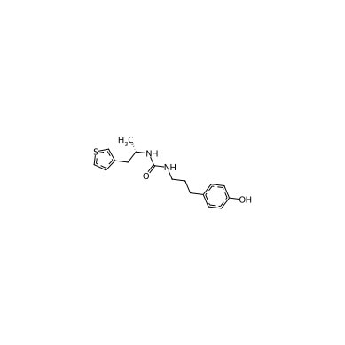 C[C@@H](Cc1ccsc1)NC(=O)NCCCc1ccc(O)cc1